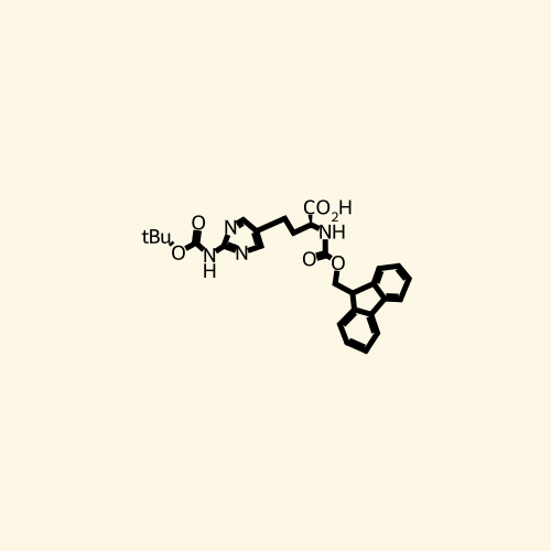 CC(C)(C)OC(=O)Nc1ncc(CC[C@H](NC(=O)OCC2c3ccccc3-c3ccccc32)C(=O)O)cn1